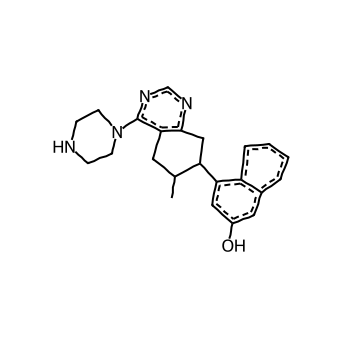 CC1Cc2c(ncnc2N2CCNCC2)CC1c1cc(O)cc2ccccc12